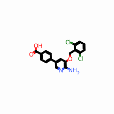 Nc1ncc(-c2ccc(C(=O)O)cc2)cc1OCc1c(Cl)cccc1Cl